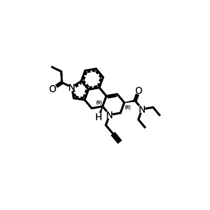 C#CCN1C[C@H](C(=O)N(CC)CC)C=C2c3cccc4c3c(cn4C(=O)CC)C[C@H]21